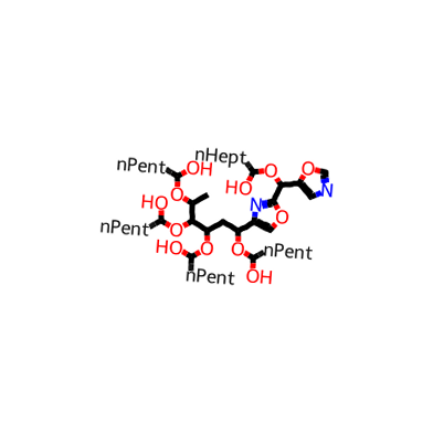 CCCCCCCC(O)OC(c1cnco1)c1nc(C(CC(OC(O)CCCCC)C(OC(O)CCCCC)C(C)OC(O)CCCCC)OC(O)CCCCC)co1